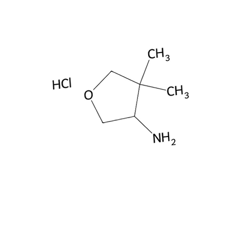 CC1(C)COCC1N.Cl